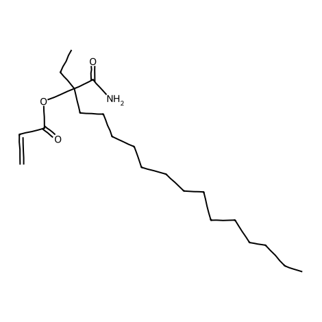 C=CC(=O)OC(CC)(CCCCCCCCCCCCCC)C(N)=O